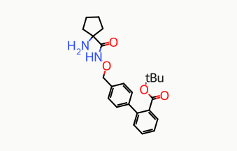 CC(C)(C)OC(=O)c1ccccc1-c1ccc(CONC(=O)C2(N)CCCC2)cc1